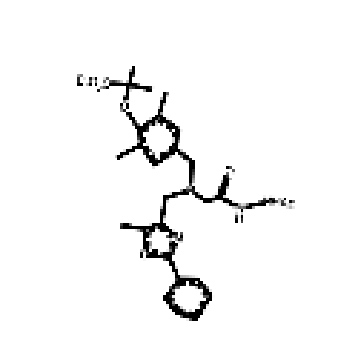 CCOC(=O)C(C)(C)Oc1c(C)cc(CN(CC(=O)NNC(C)=O)Cc2nc(-c3ccccc3)oc2C)cc1C